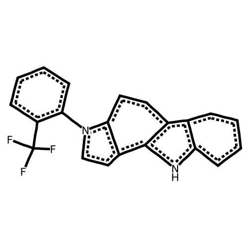 FC(F)(F)c1ccccc1-n1ccc2c3[nH]c4ccccc4c3ccc21